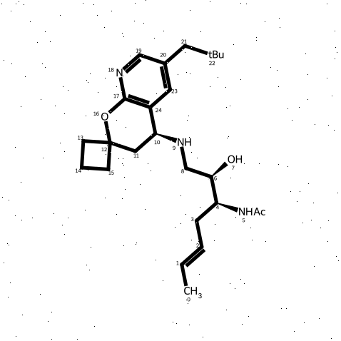 C/C=C/C[C@H](NC(C)=O)[C@H](O)CN[C@H]1CC2(CCC2)Oc2ncc(CC(C)(C)C)cc21